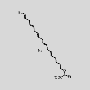 CCC=CCC=CCC=CCC=CCC=CCCCCOC(CC)C(=O)[O-].[Na+]